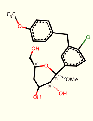 CO[C@@]1(c2ccc(Cl)c(Cc3ccc(OC(F)(F)F)cc3)c2)O[C@H](CO)CC(O)[C@H]1O